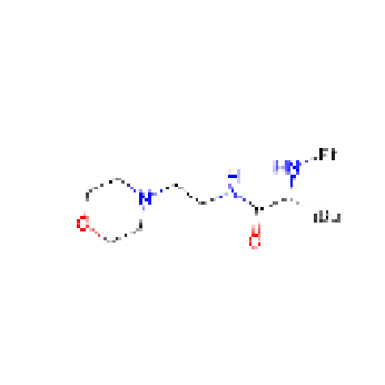 CCN[C@H](C(=O)NCCN1CCOCC1)[C@@H](C)CC